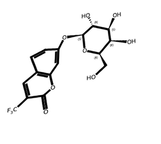 O=c1oc2cc(O[C@@H]3O[C@H](CO)[C@H](O)[C@H](O)[C@H]3O)ccc2cc1C(F)(F)F